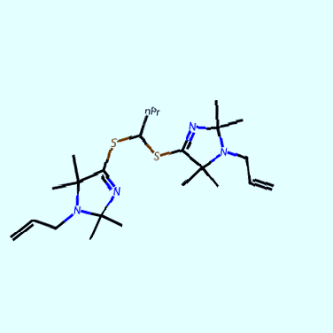 C=CCN1C(C)(C)N=C(SC(CCC)SC2=NC(C)(C)N(CC=C)C2(C)C)C1(C)C